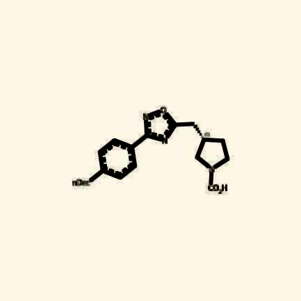 CCCCCCCCCCc1ccc(-c2noc(C[C@@H]3CCN(C(=O)O)C3)n2)cc1